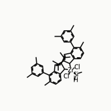 Cc1cc(C)cc(-c2c(C)ccc3c2C=C(C(C)C)[CH]3[Zr]([Cl])([Cl])([CH]2C(C(C)C)=Cc3c2ccc(C)c3-c2cc(C)cc(C)c2)[SiH](C)C)c1